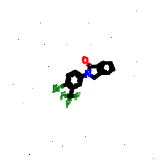 O=C1C2C3C=CC(C3)C2CN1c1ccc(Br)c(C(F)(F)F)c1